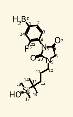 Bc1ccc(N2C(=O)CN(CCCC(C)(C)[Si](C)(C)O)C2=O)c(F)c1